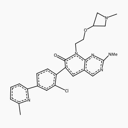 CNc1ncc2cc(-c3ccc(-c4cccc(C)n4)cc3Cl)c(=O)n(CCOC3CN(C)C3)c2n1